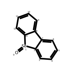 O=[Se]1c2ccccc2-c2ccccc21